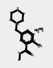 COC(=O)c1cc(CN2CCOCC2)ccc1N.Cl.Cl